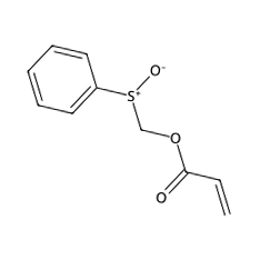 C=CC(=O)OC[S+]([O-])c1ccccc1